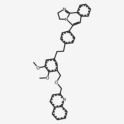 COc1cc(CCc2ccc(C3=Cc4ccccc4C4=NCCN34)cc2)cc(COCc2ccc3ccccc3n2)c1OC